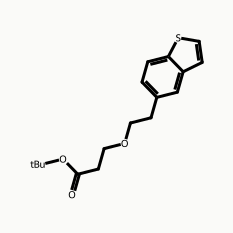 CC(C)(C)OC(=O)CCOCCc1ccc2sccc2c1